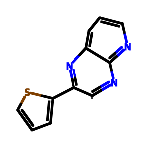 [c]1nc2ncccc2nc1-c1cccs1